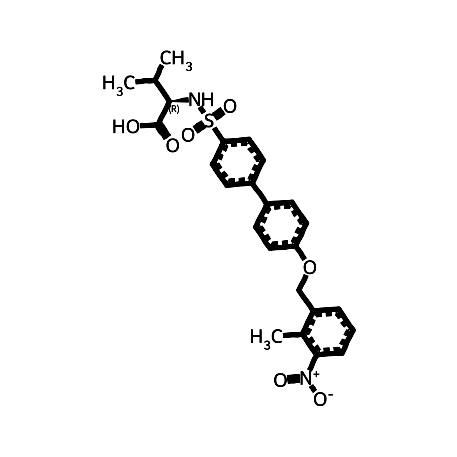 Cc1c(COc2ccc(-c3ccc(S(=O)(=O)N[C@@H](C(=O)O)C(C)C)cc3)cc2)cccc1[N+](=O)[O-]